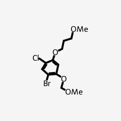 COCCCOc1cc(OCOC)c(Br)cc1Cl